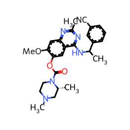 COc1cc2nc(C)nc(NC(C)c3cccc(C#N)c3)c2cc1OC(=O)N1CCN(C)C[C@H]1C